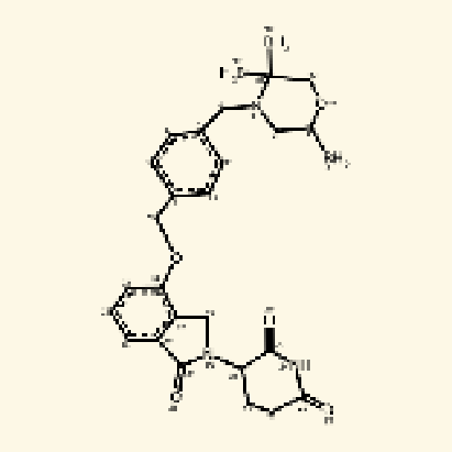 BC1CN(Cc2ccc(COc3cccc4c3CN(C3CCC(=O)NC3=O)C4=O)cc2)C(B)(B)CO1